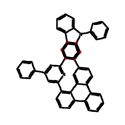 c1ccc(-c2cc(-c3ccccc3)nc(-c3cccc4c5ccccc5c5ccc(-c6ccc7c8ccccc8n(-c8ccccc8)c7c6)cc5c34)c2)cc1